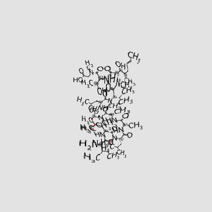 CC=CC[C@@H](C)[C@@H](O)[C@@H](C(=O)N[C@H](C(=O)N(C)CC(=O)O)[C@@H](C)O)N(C)C(=O)[C@H](C(C)C)N(C)C(=O)[C@H](CC(C)C)NC(=O)[C@H](CC(C)C)N(C)C(=O)[C@@H](C)NC(=O)[C@H](C)NC(=O)[C@H](CC(C)C)N(C)C(=O)[C@H](CC(C)C)NC(=O)[C@H](N)C(C)CC